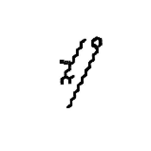 C=CC(CCCCCCCCCC)N(C)C.CCCCCCCCCCCCCCCC[n+]1ccccc1.Cl.[Cl-]